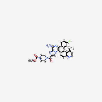 Cc1ccnc2ccc(-c3c(-c4ccc(F)cc4)nc(N)c4nc(C(=O)N5CCN(C(=O)OC(C)(C)C)CC5)cn34)cc12